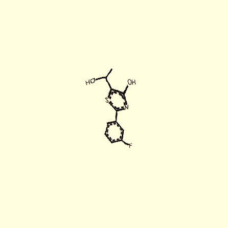 CC(O)c1sc(-c2cccc(F)c2)nc1O